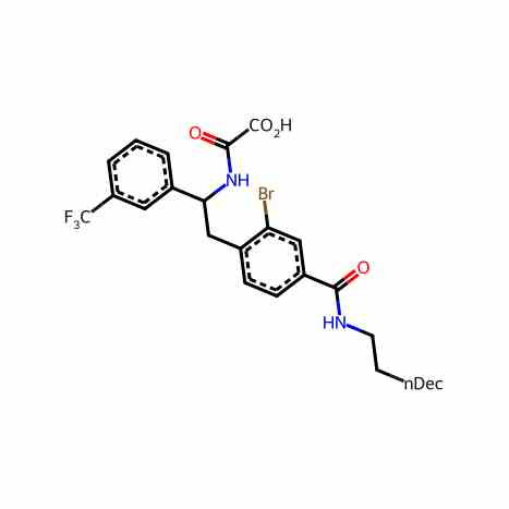 CCCCCCCCCCCCNC(=O)c1ccc(CC(NC(=O)C(=O)O)c2cccc(C(F)(F)F)c2)c(Br)c1